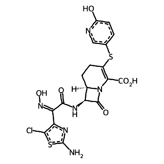 Nc1nc(/C(=N/O)C(=O)N[C@@H]2C(=O)N3C(C(=O)O)=C(Sc4ccc(O)nc4)CC[C@H]23)c(Cl)s1